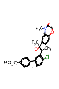 C[C@@H](c1cc(-c2ccc(C(=O)O)cc2)ccc1Cl)[C@](O)(c1ccc2c(c1)N(C)C(=O)CO2)C(F)(F)F